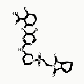 NC(=O)c1c(F)cccc1Nc1nc(NC2CCCN(S(=O)(=O)CCN3C(=O)c4ccccc4C3=O)C2)ncc1Br